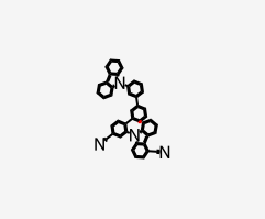 N#Cc1ccc(-c2cccc(-c3cccc(-n4c5ccccc5c5ccccc54)c3)c2)c(-n2c3ccccc3c3c(C#N)cccc32)c1